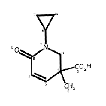 CC1(C(=O)O)C=CC(=O)N(C2CC2)C1